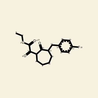 CCOC(=O)C(=O)C1CCCCC(Cc2ccc(F)cc2)C1=O